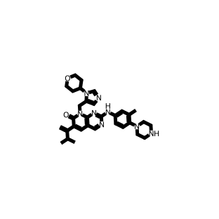 C=C(c1cc2cnc(Nc3ccc(N4CCNCC4)c(C)c3)nc2n(Cc2cncn2C2CCOCC2)c1=O)C(C)C